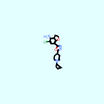 Nc1c(Cl)cc(-c2nnc(C3CCN(C4CCC4)CC3)o2)c2c1CCO2